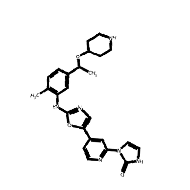 Cc1ccc(C(C)OC2CCNCC2)cc1Nc1ncc(-c2ccnc(-n3cc[nH]c3=O)c2)o1